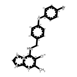 Cc1nc2ncnn2c(NCc2ccc(Oc3ccc(Br)cc3)cc2)c1Cl